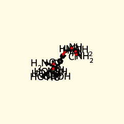 COC(=O)[C@H](CCCCN)N(CCN(C[C@H](O)[C@@H](O)[C@H](O)[C@H](O)CO)C[C@H](O)[C@@H](O)[C@H](O)[C@H](O)CO)C(=O)CCc1ccc(-c2ccc(CCCCNC(=N)NC(=O)c3nc(Cl)c(N)nc3N)cc2)cc1